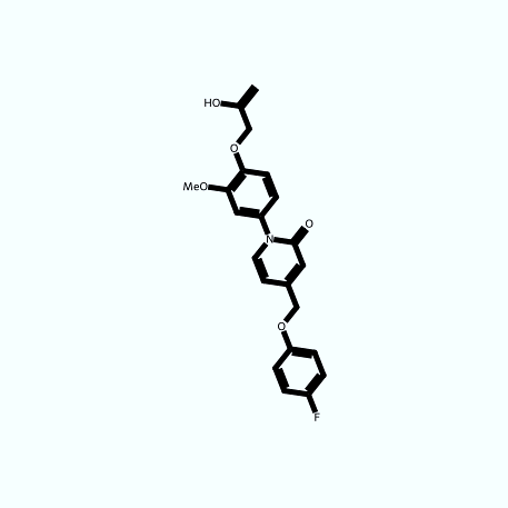 C=C(O)COc1ccc(-n2ccc(COc3ccc(F)cc3)cc2=O)cc1OC